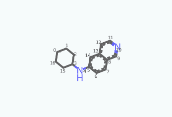 [CH]1CCC(Nc2ccc3cnccc3c2)CC1